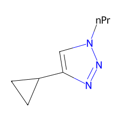 CCCn1cc(C2CC2)nn1